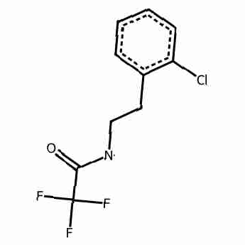 O=C([N]CCc1ccccc1Cl)C(F)(F)F